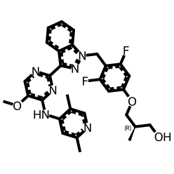 COc1cnc(-c2nn(Cc3c(F)cc(OC[C@H](C)CO)cc3F)c3ccccc23)nc1Nc1cc(C)ncc1C